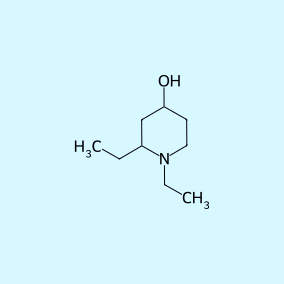 CCC1CC(O)CCN1CC